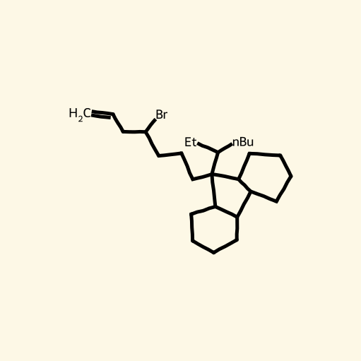 C=CCC(Br)CCCC1(C(CC)CCCC)C2CCCCC2C2CCCCC21